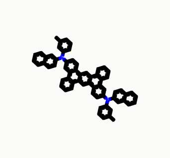 Cc1cccc(N(c2ccc3ccccc3c2)c2ccc3c(c2)c2ccccc2c2cc4c5ccc(N(c6cccc(C)c6)c6ccc7ccccc7c6)cc5c5ccccc5c4cc32)c1